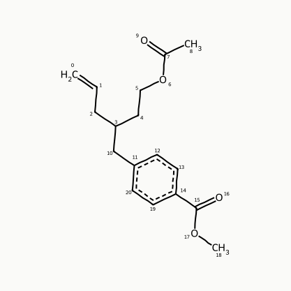 C=CCC(CCOC(C)=O)Cc1ccc(C(=O)OC)cc1